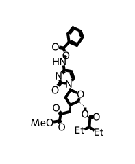 CCC(CC)C(=O)OC[C@H]1O[C@@H](n2ccc(NOC(=O)c3ccccc3)nc2=O)C[C@@H]1CC(=O)C(=O)OC